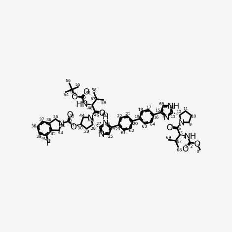 COC(=O)N[C@H](C(=O)N1CCC[C@H]1c1nc(-c2ccc(-c3ccc(-c4cnc([C@@H]5C[C@@H](OC(=O)N6Cc7cccc(F)c7C6)CN5C(=O)[C@@H](NC(=O)OC(C)(C)C)C(C)C)[nH]4)cc3)cc2)c[nH]1)C(C)C